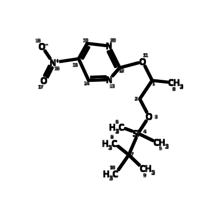 CC(CO[Si](C)(C)C(C)(C)C)Oc1ncc([N+](=O)[O-])cn1